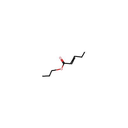 [CH2]CC=CC(=O)OCCC